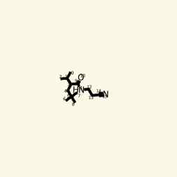 CC(C)C(CC(C)(C)C)C(=O)NCCC#N